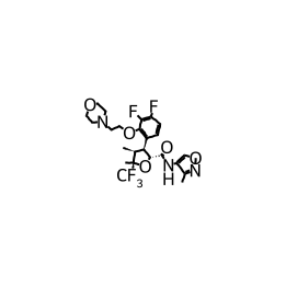 Cc1nocc1NC(=O)[C@@H]1O[C@@](C)(C(F)(F)F)[C@@H](C)[C@H]1c1ccc(F)c(F)c1OCCN1CCOCC1